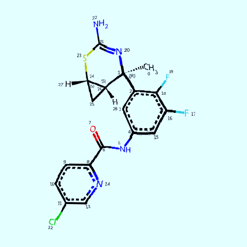 C[C@@]1(c2cc(NC(=O)c3ccc(Cl)cn3)cc(F)c2F)N=C(N)S[C@H]2C[C@H]21